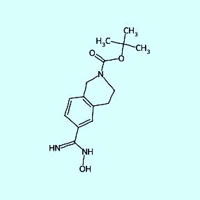 CC(C)(C)OC(=O)N1CCc2cc(C(=N)NO)ccc2C1